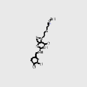 O=c1[nH]c(NCc2ccc(Cl)c(Cl)c2)nc2cnn(CCOC/C=N/O)c12